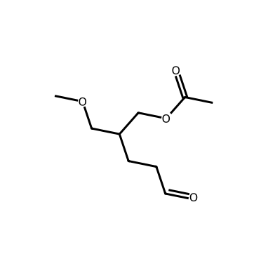 COCC(CCC=O)COC(C)=O